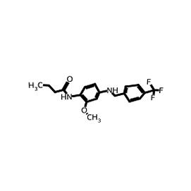 CCCC(=O)Nc1ccc(NCc2ccc(C(F)(F)F)cc2)cc1OC